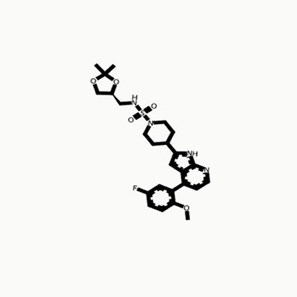 COc1ccc(F)cc1-c1ccnc2[nH]c(C3CCN(S(=O)(=O)NC[C@H]4COC(C)(C)O4)CC3)cc12